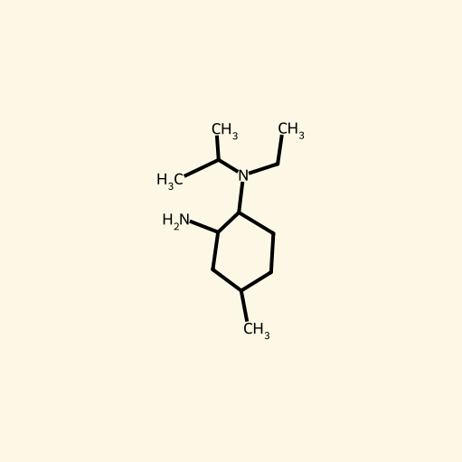 CCN(C(C)C)C1CCC(C)CC1N